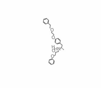 C[C@H](Cc1ccc(OCCOCCc2ccccc2)cc1)NCC(O)COc1ccccc1